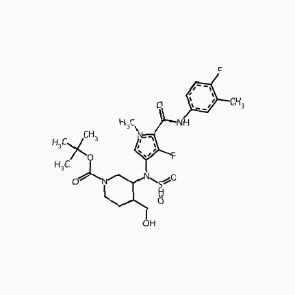 Cc1cc(NC(=O)c2c(F)c(N(C3CN(C(=O)OC(C)(C)C)CCC3CO)[SH](=O)=O)cn2C)ccc1F